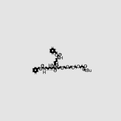 CC(C)(C)OC(=O)CCOCCOCCOCCOCCNC(=O)C(CCCCNC(=O)OCc1ccccc1)NC(=O)CCCNC(=O)OCc1ccccc1